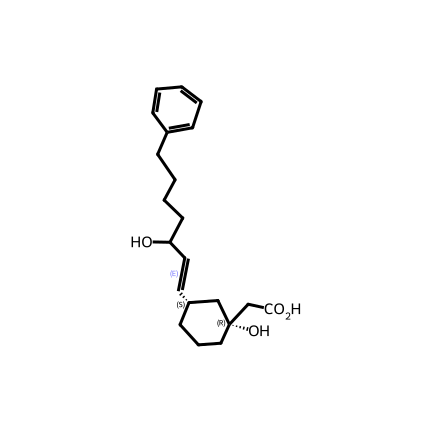 O=C(O)C[C@@]1(O)CCC[C@H](/C=C/C(O)CCCCc2ccccc2)C1